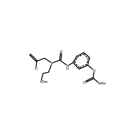 C=C(Cl)CN(CCCCCCCCCCCC)C(=O)Nc1cccc(OC(=O)NC)c1